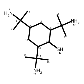 CC(C)(N)C1CC(C(C)(C)N)C(S)C(C(C)(C)N)C1